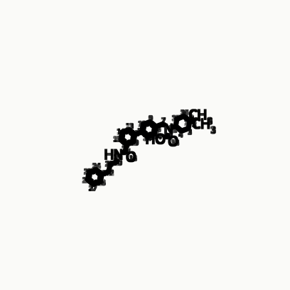 CC1(C)CCC(N(Cc2ccc(-c3cccc(C(=O)NCCCc4ccccc4)c3)cc2)C(=O)O)CC1